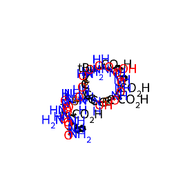 C[C@H](N)C(=O)N[C@@H](CSCC(=O)NCCN1CCNC(=O)CSC[C@@H](C(N)=O)NC(=O)[C@H](C(C)(C)C)NC(=O)C(CC(=O)O)NC(=O)[C@H](Cc2ccc(O)cc2)NC(=O)[C@H](Cc2ccccc2)NC(=O)[C@H](CC(=O)O)NC(=O)[C@H](CCC(=O)O)NC(=O)CCSCC(O)NCC1)C(=O)N[C@H](C)C(=O)N[C@@H](CC(N)=O)C(=O)N[C@@H](CCC(=O)O)C(=O)N[C@@H](Cc1cccc2ccccc12)C(=O)N[C@H](C)C(N)=O